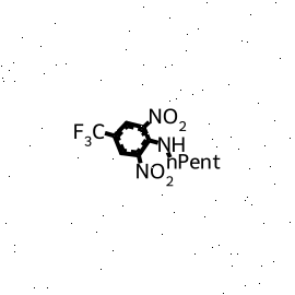 CCCCCNc1c([N+](=O)[O-])cc(C(F)(F)F)cc1[N+](=O)[O-]